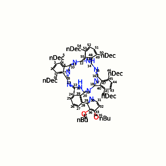 CCCCCCCCCCc1ccc(CCCCCCCCCC)c2c1-c1nc-2nc2[nH]c(nc3nc(nc4[nH]c(n1)c1cccc(-c5nccc(OCCCC)c5OCCCC)c41)-c1c(CCCCCCCCCC)ccc(CCCCCCCCCC)c1-3)c1c(CCCCCCCCCC)ccc(CCCCCCCCCC)c21